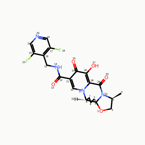 C[C@H]1CO[C@@]23CCC[C@@H]2n2cc(C(=O)NCc4c(F)cncc4F)c(=O)c(O)c2C(=O)N13